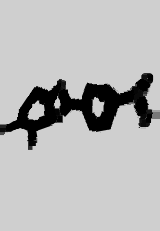 O=[N+]([O-])c1ccc(-c2nc3c(F)c(F)ccc3o2)cc1